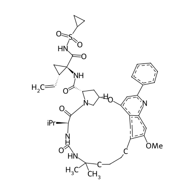 C=C[C@@H]1C[C@]1(NC(=O)[C@@H]1C[C@@H]2CN1C(=O)[C@H](C(C)C)NC(=O)NC(C)(C)CCCCc1cc3c(cc(-c4ccccc4)nc3cc1OC)O2)C(=O)NS(=O)(=O)C1CC1